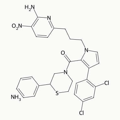 N.Nc1nc(CCCn2ccc(-c3ccc(Cl)cc3Cl)c2C(=O)N2CCSC(c3ccccc3)C2)ccc1[N+](=O)[O-]